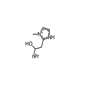 CCCC(O)Cc1[nH]cc[n+]1C